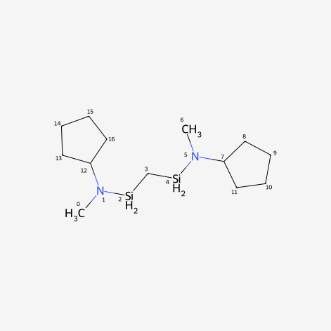 CN([SiH2]C[SiH2]N(C)C1CCCC1)C1CCCC1